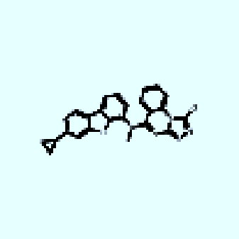 CN(c1nc2nnc(Cl)n2c2ccccc12)c1cccc2c1oc1cc(C3CC3)ccc12